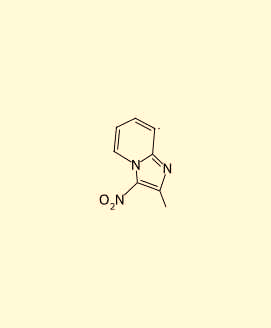 Cc1nc2[c]cccn2c1[N+](=O)[O-]